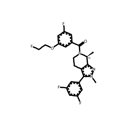 C[C@H]1c2nn(C)c(-c3cc(F)cc(F)c3)c2CCN1C(=O)c1cc(F)cc(OCCF)c1